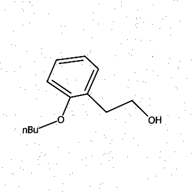 CCCCOc1ccccc1CCO